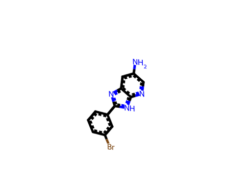 Nc1cnc2[nH]c(-c3cccc(Br)c3)nc2c1